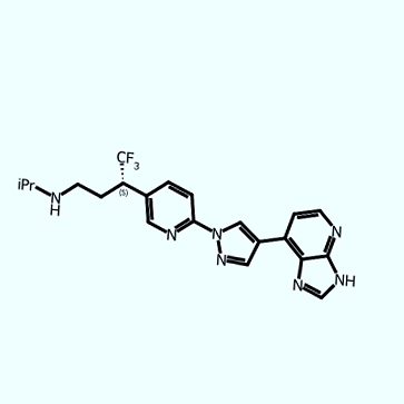 CC(C)NCC[C@@H](c1ccc(-n2cc(-c3ccnc4[nH]cnc34)cn2)nc1)C(F)(F)F